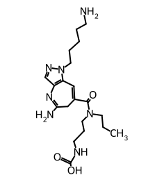 CCCN(CCCNC(=O)O)C(=O)C1=Cc2c(cnn2CCCCCN)N=C(N)C1